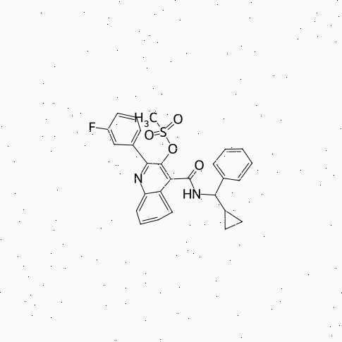 CS(=O)(=O)Oc1c(-c2cccc(F)c2)nc2ccccc2c1C(=O)NC(c1ccccc1)C1CC1